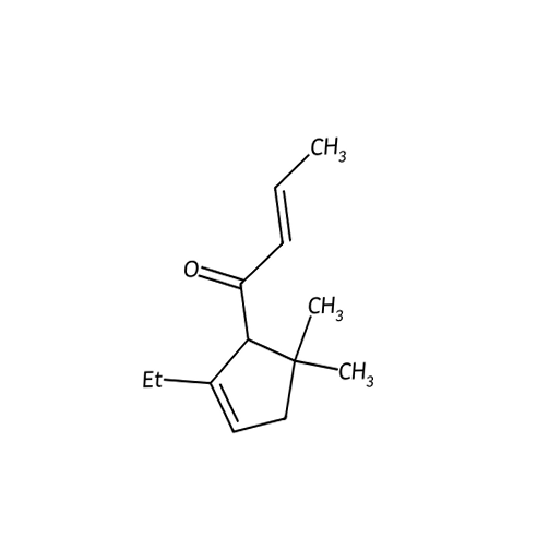 C/C=C/C(=O)C1C(CC)=CCC1(C)C